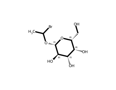 CC(Br)O[C@@H]1O[C@H](CO)[C@H](O)[C@H](O)[C@H]1O